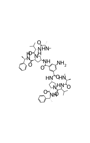 CN[C@@H](C)C(=O)N[C@H](C(=O)N1C[C@@H](NC(=O)c2cc(N)cc(C(=O)N[C@H]3C[C@@H](C(=O)N[C@H](C)c4ccccc4)N(C(=O)[C@@H](NC(=O)[C@H](C)NC)C(C)C)C3)c2)C[C@H]1C(=O)N[C@H](C)c1ccccc1)C(C)C